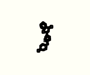 O=C1CCN(Cc2ccc(C3CC(=O)c4ccccc4O3)cn2)CC1